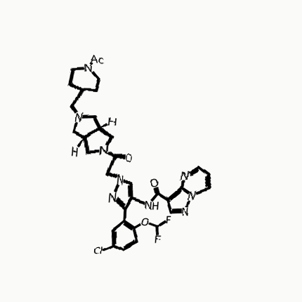 CC(=O)N1CCC(CN2C[C@@H]3CN(C(=O)Cn4cc(NC(=O)c5cnn6cccnc56)c(-c5cc(Cl)ccc5OC(F)F)n4)C[C@@H]3C2)CC1